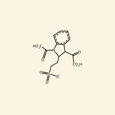 O=C(O)C(=O)C1c2ccccc2N(C(=O)C(=O)O)C1CCS(=O)(=O)Cl